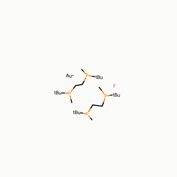 CP(CCP(C)C(C)(C)C)C(C)(C)C.CP(CCP(C)C(C)(C)C)C(C)(C)C.[Au+].[I-]